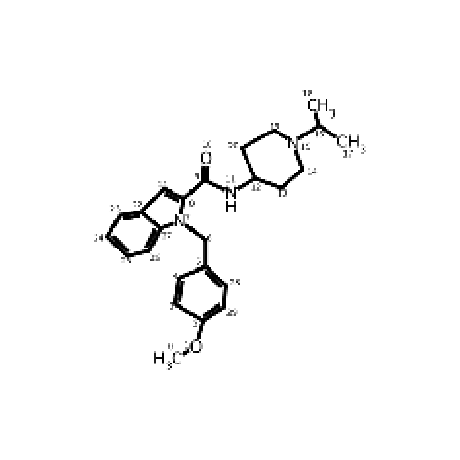 COc1ccc(Cn2c(C(=O)NC3CCN(C(C)C)CC3)cc3ccccc32)cc1